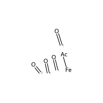 C[C](=O)[Fe].[C]=O.[C]=O.[C]=O.[C]=O